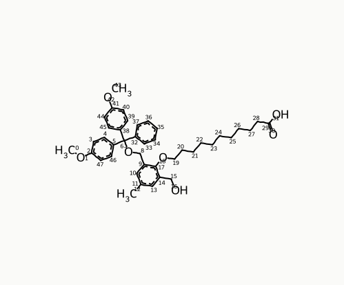 COc1ccc(C(OCc2cc(C)cc(CO)c2OCCCCCCCCCCC(=O)O)(c2ccccc2)c2ccc(OC)cc2)cc1